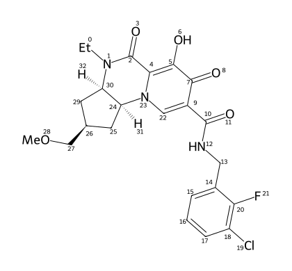 CCN1C(=O)c2c(O)c(=O)c(C(=O)NCc3cccc(Cl)c3F)cn2[C@H]2C[C@@H](COC)C[C@H]21